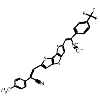 [C-]#[N+]/C(=C\c1cc2sc3cc(/C=C(\C#N)c4ccc(C)cc4)sc3c2s1)c1ccc(C(F)(F)F)cc1